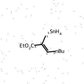 CCCCC=C(C)C(=O)OCC.[SnH4]